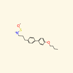 CCCCOc1ccc(-c2ccc(CCCN(C)SOC)cc2)cc1